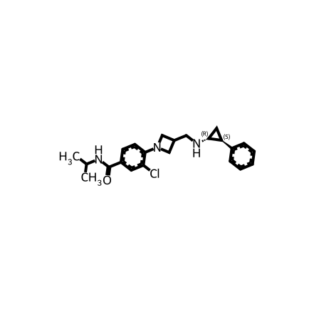 CC(C)NC(=O)c1ccc(N2CC(CN[C@@H]3C[C@H]3c3ccccc3)C2)c(Cl)c1